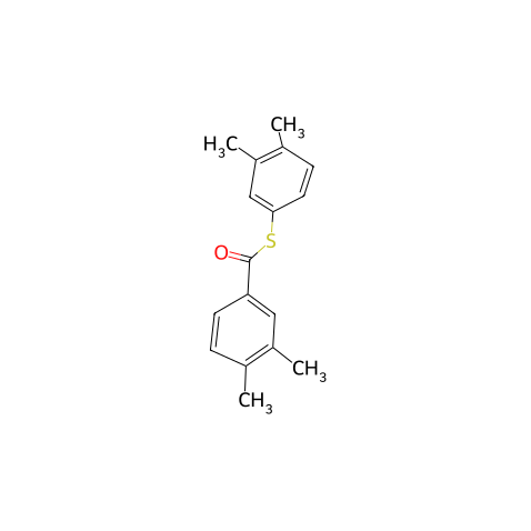 Cc1ccc(SC(=O)c2ccc(C)c(C)c2)cc1C